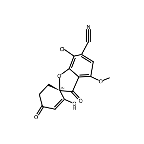 COc1cc(C#N)c(Cl)c2c1C(=O)[C@@]1(CCC(=O)C=C1O)O2